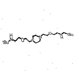 CC(C)(C)CNCCOCCN1CCN(CCOCCNC(C)(C)C)CC1